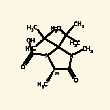 C[C@@H]1C(=O)N(C)C(C(C)(C)C)(C(C)(C)C)N1C(=O)O